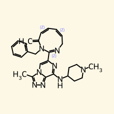 C=C1/C=C\C=C/C/N=C(/c2cn3c(C)nnc3c(NC3CCN(C)CC3)n2)N1Cc1ccccc1